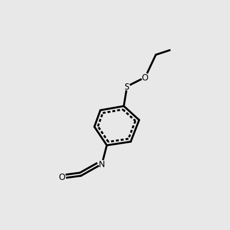 CCOSc1ccc(N=C=O)cc1